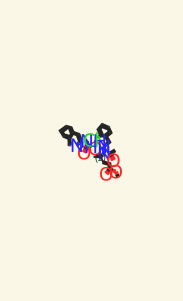 COC(=O)CC[C@@H](COC(=O)Nc1cc2ccccc2cn1)N(NCc1ccccc1Cl)C(C)=O